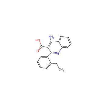 CCc1ccccc1-c1nc2ccccc2c(N)c1C(=O)O